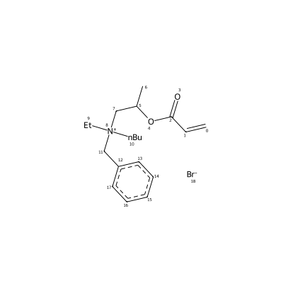 C=CC(=O)OC(C)C[N+](CC)(CCCC)Cc1ccccc1.[Br-]